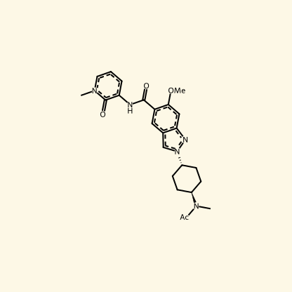 COc1cc2nn([C@H]3CC[C@H](N(C)C(C)=O)CC3)cc2cc1C(=O)Nc1cccn(C)c1=O